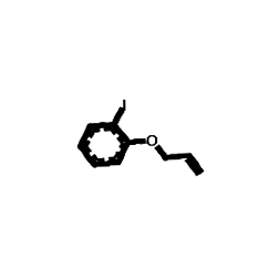 C=CCOc1ccccc1I